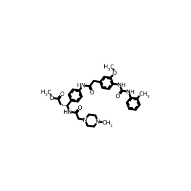 COC(=O)C[C@@H](NC(=O)CN1CCN(C)CC1)c1ccc(NC(=O)Cc2ccc(NC(=O)Nc3ccccc3C)c(OC)c2)cc1